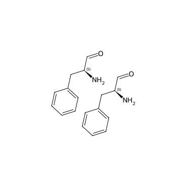 N[C@H](C=O)Cc1ccccc1.N[C@H](C=O)Cc1ccccc1